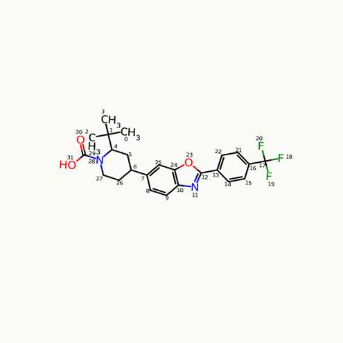 CC(C)(C)C1CC(c2ccc3nc(-c4ccc(C(F)(F)F)cc4)oc3c2)CCN1C(=O)O